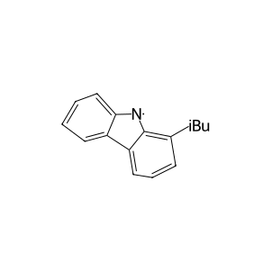 CCC(C)c1cccc2c1[N]c1ccccc1-2